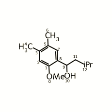 COc1cc(C)c(C)cc1C(O)CC(C)C